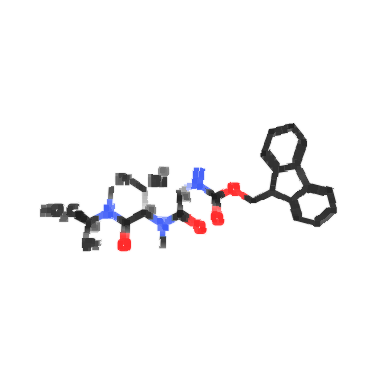 CC[C@H](C)[C@H](NC(=O)OCC1c2ccccc2-c2ccccc21)C(=O)N(C)[C@@H](CC(C)C)C(=O)N(C)[C@H](C(=O)O)C(C)C